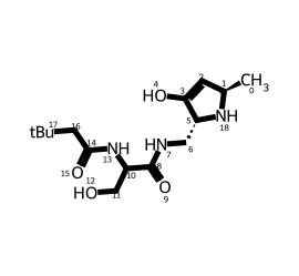 C[C@@H]1C=C(O)[C@@H](CNC(=O)C(CO)NC(=O)CC(C)(C)C)N1